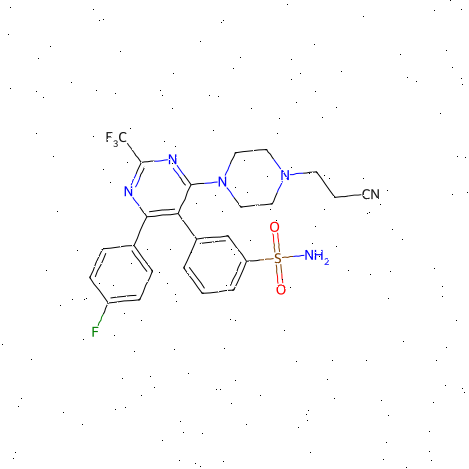 N#CCCN1CCN(c2nc(C(F)(F)F)nc(-c3ccc(F)cc3)c2-c2cccc(S(N)(=O)=O)c2)CC1